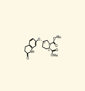 COC(=O)[C@H]1CC[C@H](Oc2ccc3c(c2)NC(=O)CC3)CN1C(=O)OC(C)(C)C